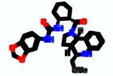 COC[C@@H]1Nc2ccccc2[C@H]2[C@@H]1CCN2C(=O)[C@H]1CCCC[C@H]1NC(=O)Nc1ccc2c(c1)OCO2